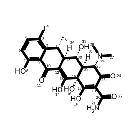 C[C@H]1c2c(I)ccc(O)c2C(=O)C2=C(O)[C@]3(O)C(O)=C(C(N)=O)C(=O)[C@@H](N(C)C)[C@@H]3[C@@H](O)[C@@H]21